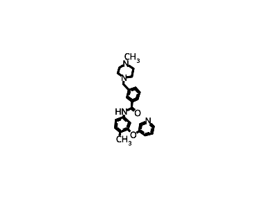 Cc1ccc(NC(=O)c2cccc(CN3CCN(C)CC3)c2)cc1Oc1cccnc1